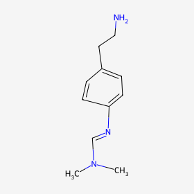 CN(C)C=Nc1ccc(CCN)cc1